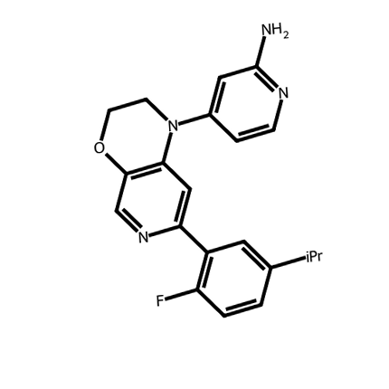 CC(C)c1ccc(F)c(-c2cc3c(cn2)OCCN3c2ccnc(N)c2)c1